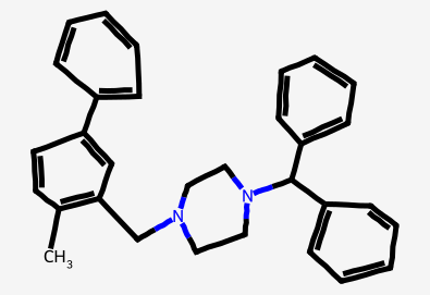 Cc1ccc(-c2ccccc2)cc1CN1CCN(C(c2ccccc2)c2ccccc2)CC1